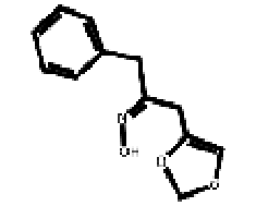 ON=C(CC1=COCO1)Cc1ccccc1